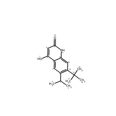 CC(C)c1cc2c(O)cc(=O)[nH]c2cc1C(C)(C)C